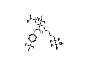 C=C(F)C(=O)OC(OCCCCC(F)(F)C(F)(F)S)(C(=O)Oc1ccc(C(F)(F)F)cc1)C(F)(F)F